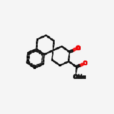 COC(=O)C1CCC2(CCCc3ccccc32)CC1=O